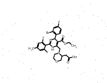 CCOC(=O)C1=C(CN2CCOCC2CC(=O)O)NC(c2c(F)cc(C)cc2F)=NC1c1ccc(F)cc1Br